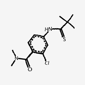 CN(C)C(=O)c1ccc(NC(=S)C(C)(C)C)cc1Cl